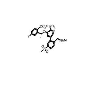 CNCc1ccc(S(C)(=O)=O)cc1-c1cnc(N)c(O[C@H](C)c2cc(F)ccc2C(=O)O)c1